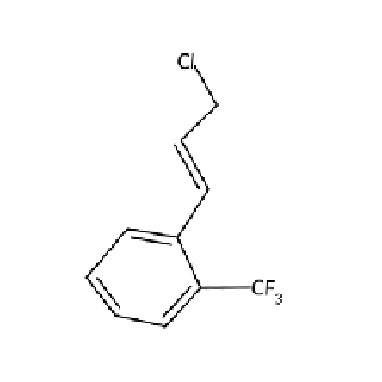 FC(F)(F)c1ccccc1/C=C/CCl